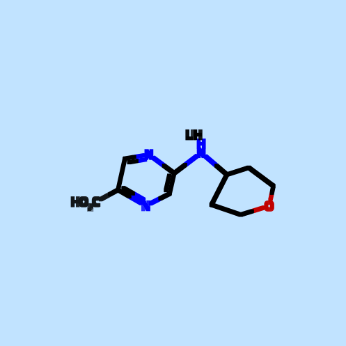 O=C(O)c1cnc(NC2CCOCC2)cn1.[LiH]